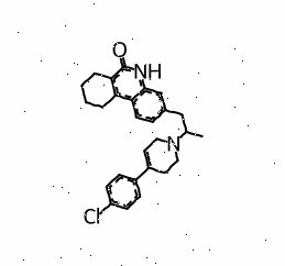 CC(Cc1ccc2c3c(c(=O)[nH]c2c1)CCCC3)N1CC=C(c2ccc(Cl)cc2)CC1